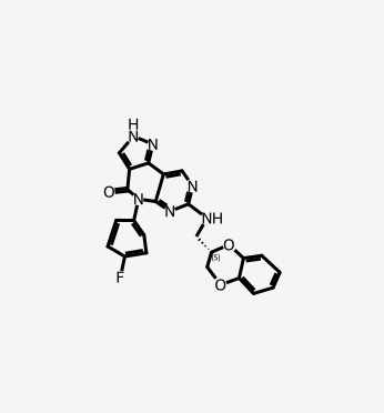 O=c1c2c[nH]nc2c2cnc(NC[C@H]3COc4ccccc4O3)nc2n1-c1ccc(F)cc1